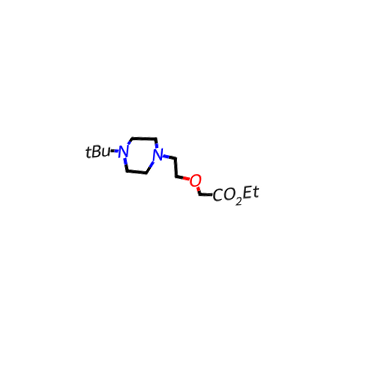 CCOC(=O)COCCN1CCN(C(C)(C)C)CC1